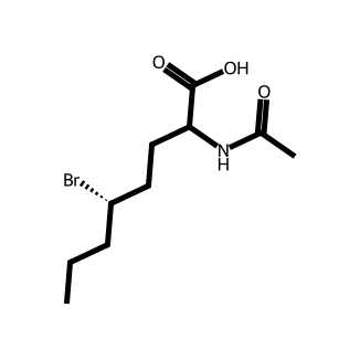 CCC[C@H](Br)CCC(NC(C)=O)C(=O)O